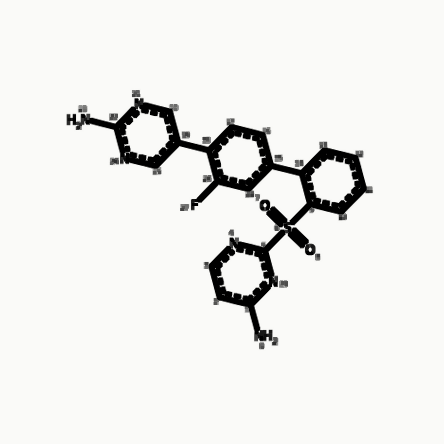 Nc1ccnc(S(=O)(=O)c2ccccc2-c2ccc(-c3cnc(N)nc3)c(F)c2)n1